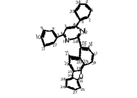 c1ccc(-c2cc(-c3ccccc3)nc(-c3cccc4c3ccc3c5ccccc5oc43)n2)cc1